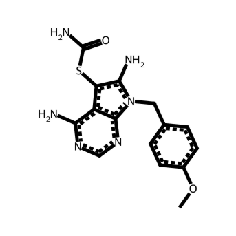 COc1ccc(Cn2c(N)c(SC(N)=O)c3c(N)ncnc32)cc1